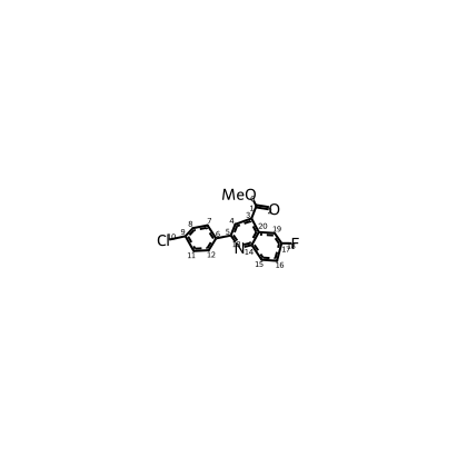 COC(=O)c1cc(-c2ccc(Cl)cc2)nc2ccc(F)cc12